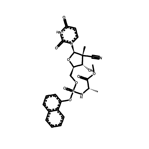 COC(=O)[C@H](C)NP(=O)(OC[C@H]1O[C@@H](n2ccc(=O)[nH]c2=O)[C@](C)(C#N)[C@@H]1O)Oc1cccc2ccccc12